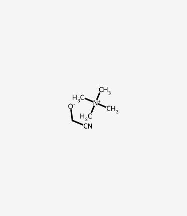 C[N+](C)(C)C.N#CC[O-]